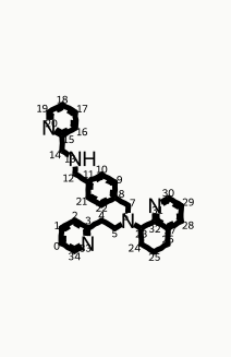 c1ccc(CCN(Cc2ccc(CNCc3ccccn3)cc2)C2CCCc3cccnc32)nc1